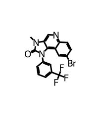 Cn1c(=O)n(-c2cccc(C(F)(F)F)c2)c2c3cc(Br)ccc3ncc21